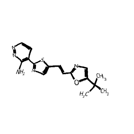 CC(C)(C)c1cnc(C=Cc2cnc(-c3ccnnc3N)s2)o1